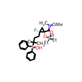 CC[Si](CC)(CC)O[C@@]1(C(=O)N(C)OC)C[C@]1(F)CCC(C)(C)[Si](O)(c1ccccc1)c1ccccc1